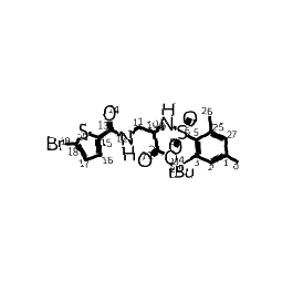 Cc1cc(C)c(S(=O)(=O)NC(CNC(=O)c2ccc(Br)s2)C(=O)OC(C)(C)C)c(C)c1